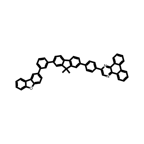 CC1(C)c2cc(-c3ccc(-c4cnc5c6ccccc6c6ccccc6c5n4)cc3)ccc2-c2ccc(-c3cccc(-c4ccc5oc6ccccc6c5c4)c3)cc21